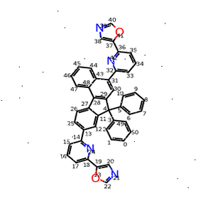 c1ccc(C2(c3ccccc3)c3cc(-c4cccc(-c5cnco5)n4)ccc3-c3c2cc(-c2cccc(-c4cnco4)n2)c2ccccc32)cc1